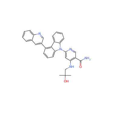 CC(C)(O)CNc1cc(-n2c3ccccc3c3c(-c4cnc5ccccc5c4)cccc32)ncc1C(N)=O